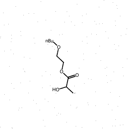 [CH2]C(O)C(=O)OCCOCCCC